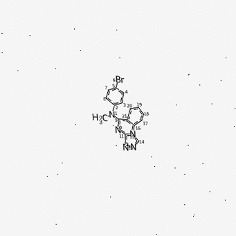 CN(c1ccc(Br)cc1)c1nc2nncn2c2ccccc12